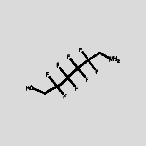 NCC(F)(F)C(F)(F)C(F)(F)C(F)(F)CO